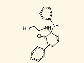 OCCNC1(Nc2ccccc2)N=CC=C(c2ccncc2)N1Cl